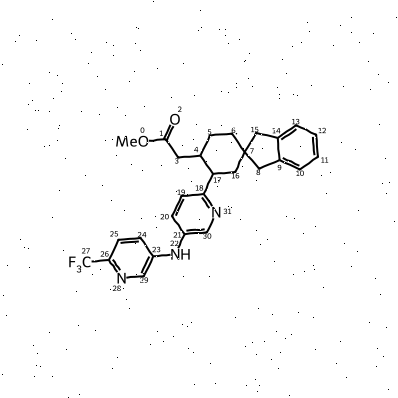 COC(=O)CC1C[CH]C2(Cc3ccccc3C2)CC1c1ccc(Nc2ccc(C(F)(F)F)nc2)cn1